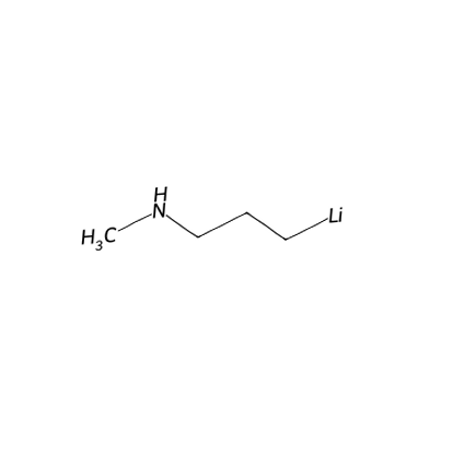 [Li][CH2]CCNC